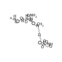 CN(CCCCCOCCCc1cccc2c1C(=O)N(C1CCC(=O)NC1=O)C2=O)Cc1ccc(-n2cc(NC(=O)c3coc(-c4ccnc(NCC5CC5)c4)n3)c(C(N)=O)n2)cc1